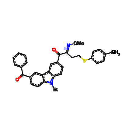 CCn1c2ccc(C(=O)/C(CCSc3ccc([SiH3])cc3)=N/OC)cc2c2cc(C(=O)c3ccccc3)ccc21